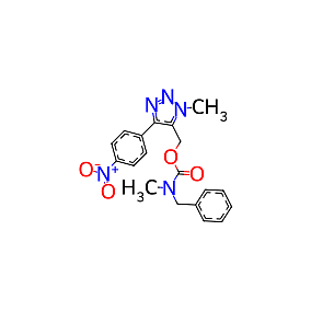 CN(Cc1ccccc1)C(=O)OCc1c(-c2ccc([N+](=O)[O-])cc2)nnn1C